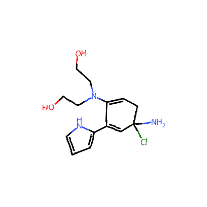 NC1(Cl)C=C(c2ccc[nH]2)C(N(CCO)CCO)=CC1